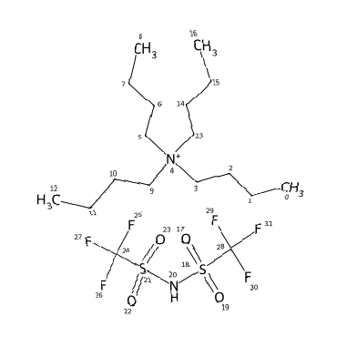 CCCC[N+](CCCC)(CCCC)CCCC.O=S(=O)(NS(=O)(=O)C(F)(F)F)C(F)(F)F